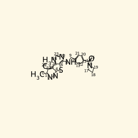 Cc1nnc2sc3c(NCc4ccc(C(=O)N5CCC5)cc4)ncnc3c2c1C